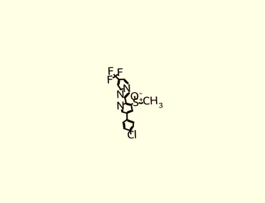 CC[S+]([O-])c1cc(-c2ccc(Cl)cc2)cnc1-c1cn2ccc(C(F)(F)F)cc2n1